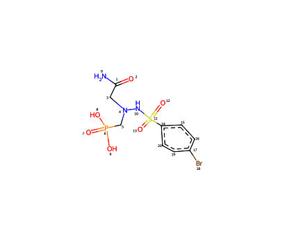 NC(=O)CN(CP(=O)(O)O)NS(=O)(=O)c1ccc(Br)cc1